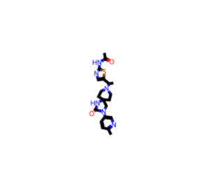 CC(=O)Nc1ncc(C(C)N2CCC3(CC2)CN(c2ccc(C)nc2)C(=O)N3)s1